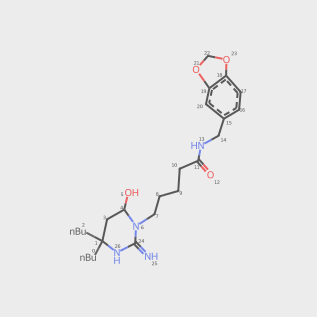 CCCCC1(CCCC)CC(O)N(CCCCC(=O)NCc2ccc3c(c2)OCO3)C(=N)N1